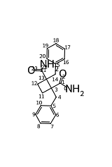 NC(=O)C1(Cc2ccccc2)CCC1(Cc1ccccc1)C(N)=O